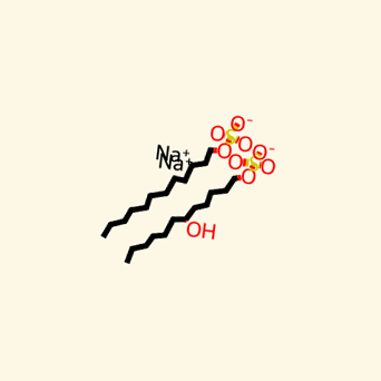 CCCCCCC(O)CCCCCOS(=O)(=O)[O-].CCCCCCCCCCCCOS(=O)(=O)[O-].[Na+].[Na+]